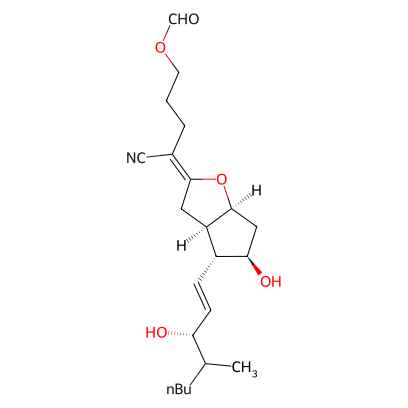 CCCCC(C)[C@H](O)/C=C/[C@@H]1[C@H]2C/C(=C(\C#N)CCCOC=O)O[C@H]2C[C@H]1O